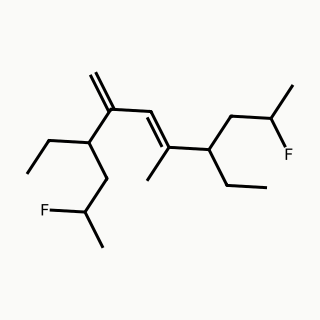 C=C(/C=C(\C)C(CC)CC(C)F)C(CC)CC(C)F